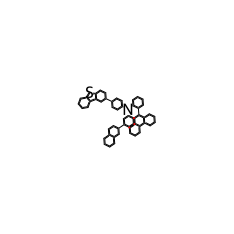 c1cc(-c2ccc3ccccc3c2)cc(N(c2ccc(-c3ccc4sc5ccccc5c4c3)cc2)c2ccccc2-c2cc3ccccc3c3ccccc23)c1